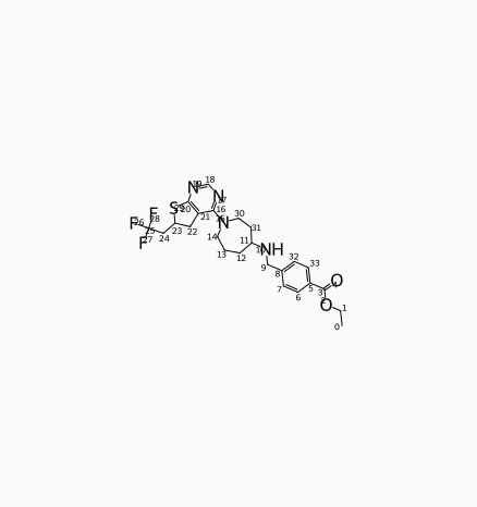 CCOC(=O)c1ccc(CNC2CCCN(c3ncnc4c3CC(CC(F)(F)F)S4)CC2)cc1